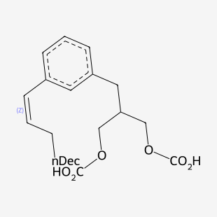 CCCCCCCCCCC/C=C\c1cccc(CC(COC(=O)O)COC(=O)O)c1